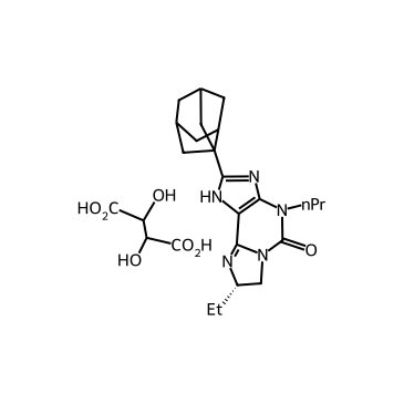 CCCN1C(=O)N2C[C@H](CC)N=C2c2[nH]c(C34CC5CC(CC3C5)C4)nc21.O=C(O)C(O)C(O)C(=O)O